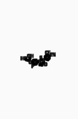 CC1(C)C(=O)N(c2ccc(C#N)c(C(F)(F)F)c2)C(=S)N1c1ccc(OC(CO)CO)c(F)c1